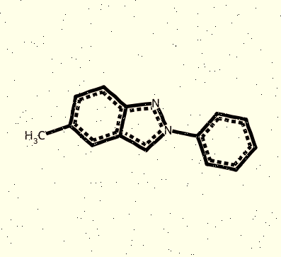 Cc1ccc2nn(-c3ccccc3)cc2c1